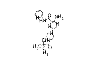 CC(C)(C)C(=O)N1CCN(c2cnc(N)c(C(=O)Nc3ccccn3)n2)CC1